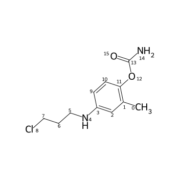 Cc1cc(NCCCCl)ccc1OC(N)=O